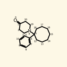 O=C1CCN(C2(c3ccccc3)CCCCCCC2)CC1